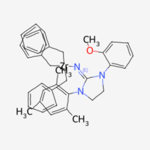 COc1ccccc1N1CCN(c2c(C)cc(C)cc2C)/C1=[N]\[Zr]([CH2]c1ccccc1)([CH2]c1ccccc1)[CH2]c1ccccc1